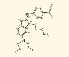 CCCN(CCC)c1ccc2nc(Nc3ccc(C(C)=O)cc3)n(CCCN)c2n1